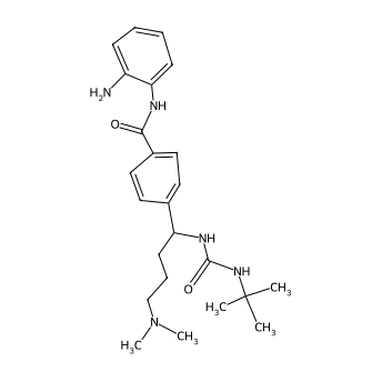 CN(C)CCCC(NC(=O)NC(C)(C)C)c1ccc(C(=O)Nc2ccccc2N)cc1